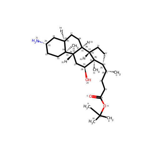 C[C@H](CCC(=O)OC(C)(C)C)[C@H]1CC[C@H]2[C@@H]3CC[C@@H]4C[C@@H](N)CC[C@]4(C)[C@H]3C[C@H](O)[C@]12C